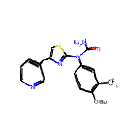 CC(C)COc1ccc(N(C(N)=O)c2nc(-c3cccnc3)cs2)cc1C(F)(F)F